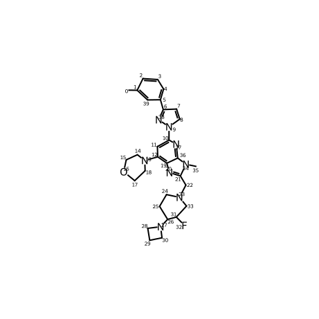 Cc1cccc(-c2ccn(-c3cc(N4CCOCC4)c4nc(CN5CCC(N6CCC6)C(F)C5)n(C)c4n3)n2)c1